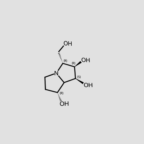 OC[C@@H]1[C@@H](O)[C@@H](O)C2[C@H](O)CCN21